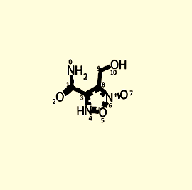 NC(=O)c1[nH]o[n+](=O)c1CO